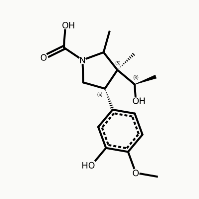 COc1ccc([C@@H]2CN(C(=O)O)C(C)[C@@]2(C)[C@@H](C)O)cc1O